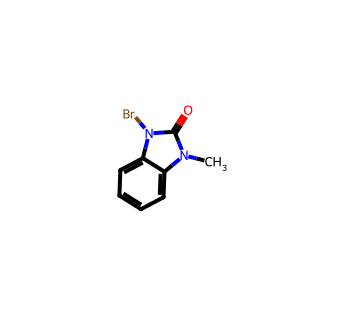 Cn1c(=O)n(Br)c2ccccc21